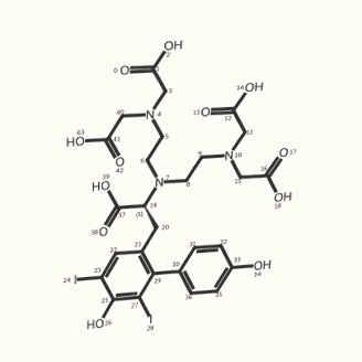 O=C(O)CN(CCN(CCN(CC(=O)O)CC(=O)O)[C@@H](Cc1cc(I)c(O)c(I)c1-c1ccc(O)cc1)C(=O)O)CC(=O)O